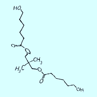 CC(C)(COC(=O)CCCCCO)COC(=O)CCCCCO